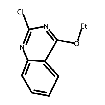 CCOc1nc(Cl)nc2ccccc12